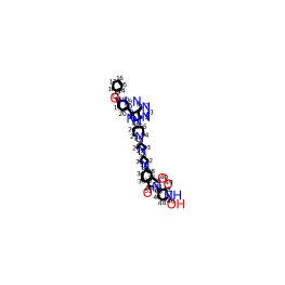 Nc1ncnc2c1c(-c1ccc(OC3=CC=CCC3)cc1)nn2C1CCN(C2CN(C3CN(c4ccc5c(c4)C(=O)N([C@@H]4CCC(O)NC4=O)C5=O)C3)C2)CC1